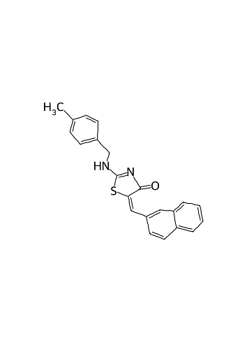 Cc1ccc(CNC2=NC(=O)C(=Cc3ccc4ccccc4c3)S2)cc1